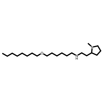 CCCCCCCCOCCCCCCNCCC1CCCN1C